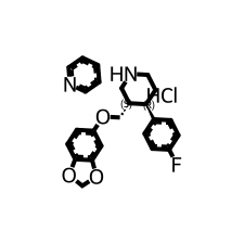 Cl.Fc1ccc([C@@H]2CCNC[C@H]2COc2ccc3c(c2)OCO3)cc1.c1ccncc1